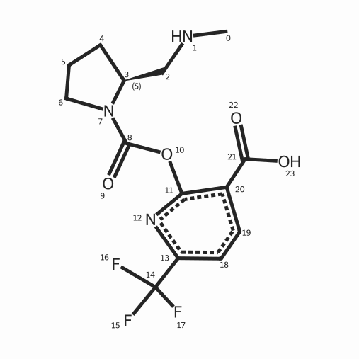 CNC[C@@H]1CCCN1C(=O)Oc1nc(C(F)(F)F)ccc1C(=O)O